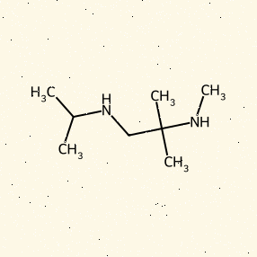 CNC(C)(C)CNC(C)C